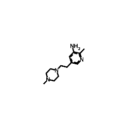 Cc1ncc(CCN2CCN(C)CC2)cc1N